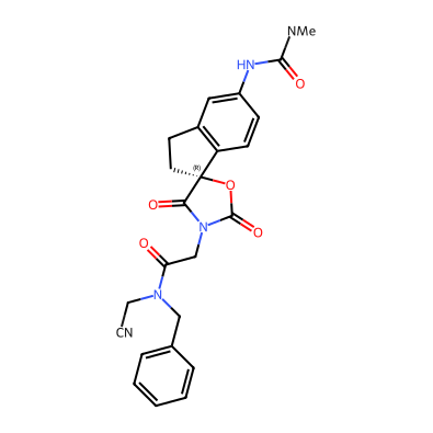 CNC(=O)Nc1ccc2c(c1)CC[C@@]21OC(=O)N(CC(=O)N(CC#N)Cc2ccccc2)C1=O